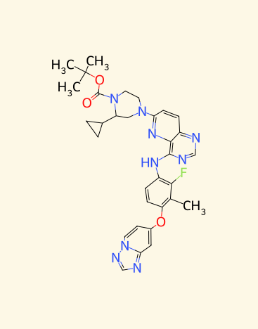 Cc1c(Oc2ccn3ncnc3c2)ccc(Nc2ncnc3ccc(N4CCN(C(=O)OC(C)(C)C)C(C5CC5)C4)nc23)c1F